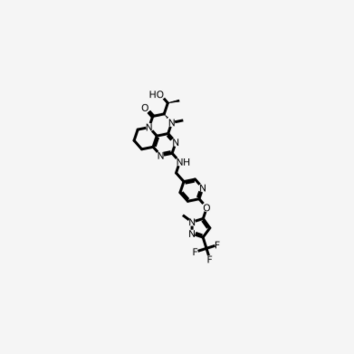 C[C@H](O)[C@H]1C(=O)N2CCCc3nc(NCc4ccc(Oc5cc(C(F)(F)F)nn5C)nc4)nc(c32)N1C